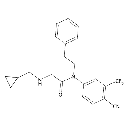 N#Cc1ccc(N(CCc2ccccc2)C(=O)CNCC2CC2)cc1C(F)(F)F